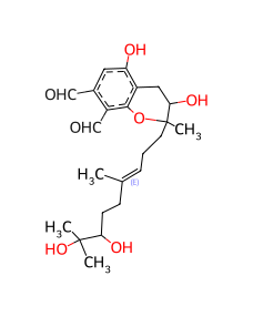 C/C(=C\CCC1(C)Oc2c(C=O)c(C=O)cc(O)c2CC1O)CCC(O)C(C)(C)O